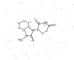 CN1C(=O)N(C2CCC(=O)NC2=O)C2CCCCC21